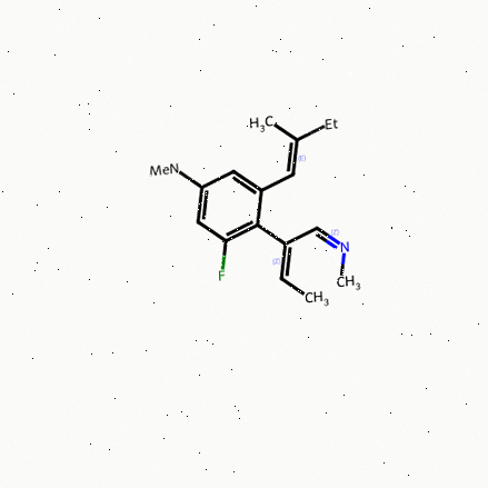 C/C=C(\C=N/C)c1c(F)cc(NC)cc1/C=C(\C)CC